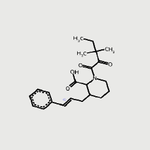 CCC(C)(C)C(=O)C(=O)N1CCCC(C/C=C/c2ccccc2)C1C(=O)O